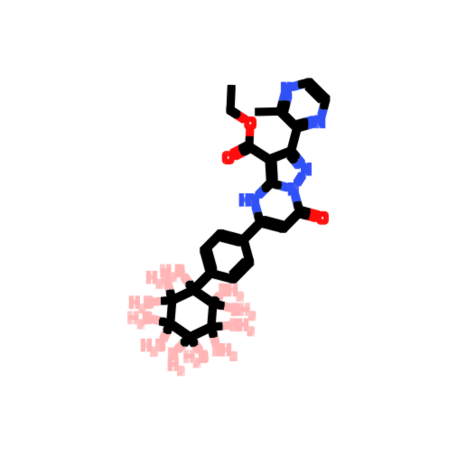 BC1(B)C(B)(B)C(B)(B)C(B)(c2ccc(-c3cc(=O)n4nc(-c5nccnc5C)c(C(=O)OCC)c4[nH]3)cc2)C(B)(B)C1(B)B